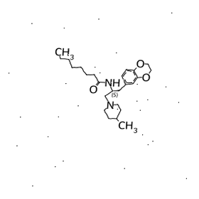 CCCCCCCC(=O)N[C@@H](Cc1ccc2c(c1)OCCO2)CN1CCC(C)CC1